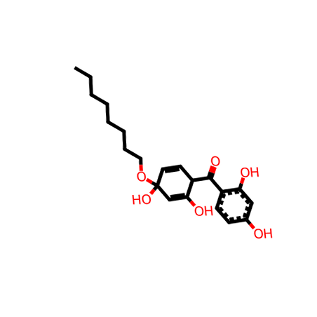 CCCCCCCCOC1(O)C=CC(C(=O)c2ccc(O)cc2O)C(O)=C1